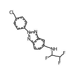 FC(F)C(F)Nc1ccc2nn(-c3ccc(Cl)cc3)nc2c1